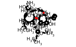 CC[C@H](CC(C)C)C(=O)N[C@H]1C(=O)C[C@@H](CC(=O)NC(=O)Nc2ccc(OCCN(C)C)c(OCCN(C)C)c2)C(=O)N[C@H]2C(=O)C[C@H]3C(=O)N[C@H](C(=O)N[C@H](C(=O)CC4C5CC6CC(C5)CC4C6)c4cc(O)cc(O)c4-c4cc3ccc4O)[C@H](O)c3ccc(c(Cl)c3)Oc3cc2cc(c3O[C@@H]2O[C@H](CN)[C@@H](O)[C@H](O)[C@H]2O)Oc2ccc(cc2Cl)[C@H]1O